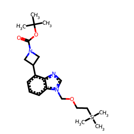 CC(C)(C)OC(=O)N1CC(c2cccc3c2ncn3COCC[Si](C)(C)C)C1